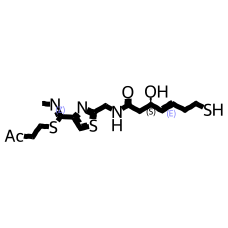 C/N=C(\SCCC(C)=O)c1csc(CNC(=O)C[C@H](O)/C=C/CCS)n1